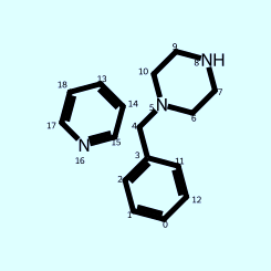 c1ccc(CN2CCNCC2)cc1.c1ccncc1